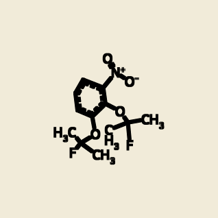 CC(C)(F)Oc1cccc([N+](=O)[O-])c1OC(C)(C)F